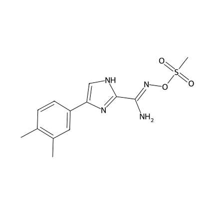 Cc1ccc(-c2c[nH]c(C(N)=NOS(C)(=O)=O)n2)cc1C